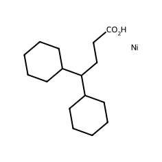 O=C(O)CCC(C1CCCCC1)C1CCCCC1.[Ni]